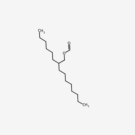 CCCCCCCCC(CCCCCC)COC=O